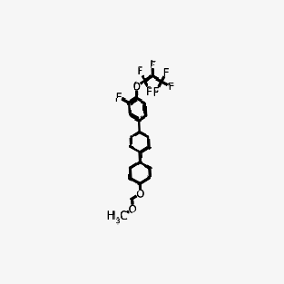 COCOC1CCC(C2CCC(c3ccc(OC(F)(F)C(F)C(F)(F)F)c(F)c3)CC2)CC1